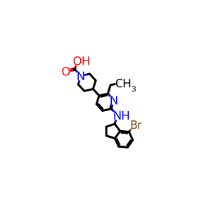 CCc1nc(NC2CCc3cccc(Br)c32)ccc1C1CCN(C(=O)O)CC1